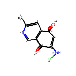 Cc1cc2c(cn1)C(=O)C(NCl)=CC2=O